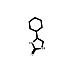 O=C1NCC(C2CCCCC2)N1